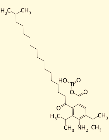 CC(C)CCCCCCCCCCCCCCC(=O)c1c(C(=O)[O][Ti](=[O])[OH])cc(C(C)C)c(N)c1C(C)C